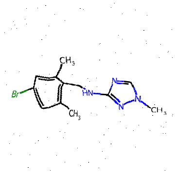 Cc1cc(Br)cc(C)c1CNc1ncn(C)n1